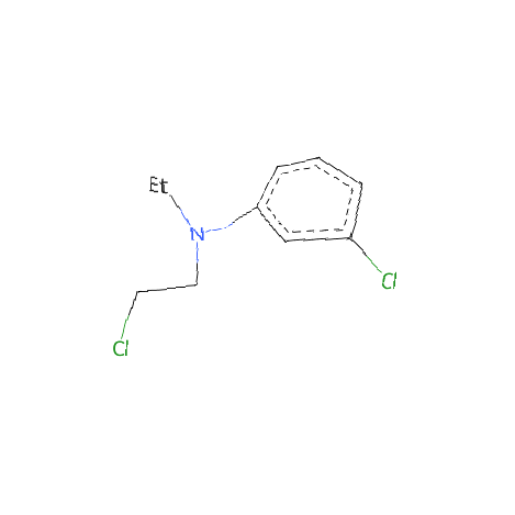 CCN(CCCl)c1cccc(Cl)c1